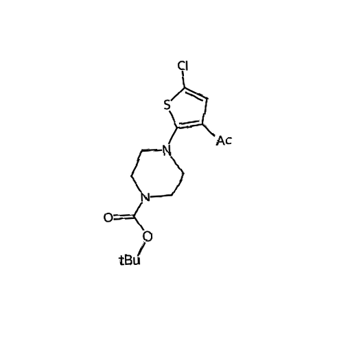 CC(=O)c1cc(Cl)sc1N1CCN(C(=O)OC(C)(C)C)CC1